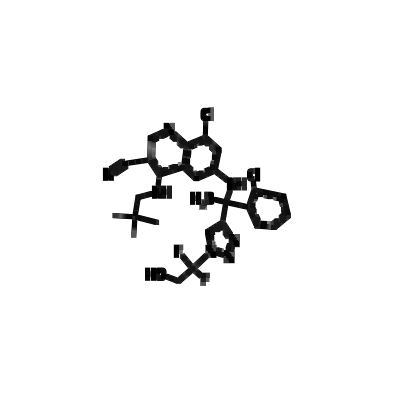 BC(Nc1cc(Cl)c2ncc(C#N)c(NCC(C)(C)C)c2c1)(c1cn(C(F)(F)CO)nn1)c1ccccc1Cl